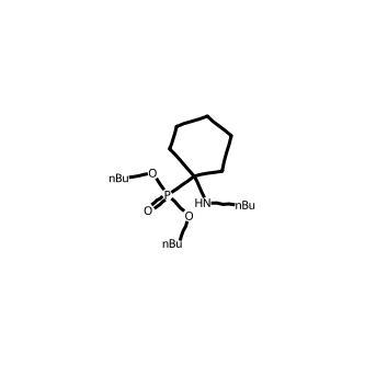 CCCCNC1(P(=O)(OCCCC)OCCCC)CCCCC1